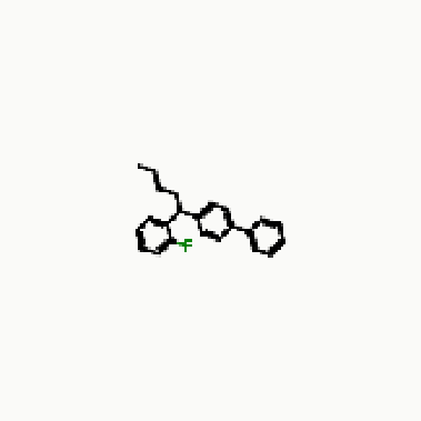 CCCCC(c1ccc(-c2ccccc2)cc1)c1ccccc1F